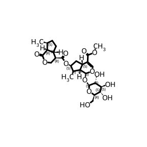 COC(=O)C1=CO[C@@H](O[C@@H]2O[C@H](CO)[C@@H](O)[C@H](O)[C@H]2O)[C@@H]2[C@@H](C)[C@@H](OC(=O)[C@H]3COC(=O)[C@H]4[C@@H]3CC[C@@H]4C)C[C@H]12